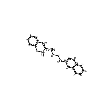 c1ccc2c(c1)CNC(NCCOc1ccc3ccccc3c1)=N2